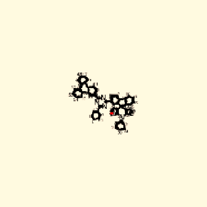 c1ccc(-c2nc(-c3ccc4c(c3)C3(c5ccccc5-4)c4ccccc4N(c4ccccc4)c4ccccc43)nc(-c3ccc4c5ccccc5c5ccccc5c4c3)n2)cc1